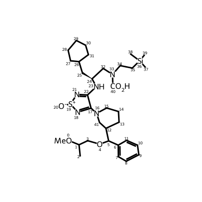 COC(C)COC(c1ccccc1)C1CCCN(c2n[s+]([O-])nc2N[C@@H](CC2CCCCC2)CN(CC[Si](C)(C)C)C(=O)O)C1